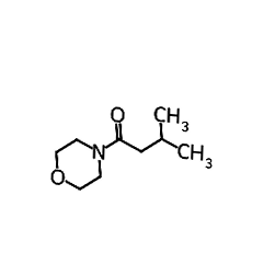 CC(C)CC(=O)N1CCOCC1